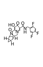 O=C(NCc1cc(F)c(F)cc1F)c1cn2c(c(O)c1=O)C(=O)N1C3CC([C@@H]4C[C@H]34)[C@@H]1C2